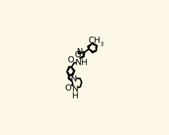 Cc1cccc(-c2cc(NC(=O)c3ccc4cc5n(c4c3)CCCNC5=O)on2)c1